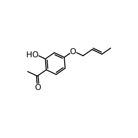 C/C=C/COc1ccc(C(C)=O)c(O)c1